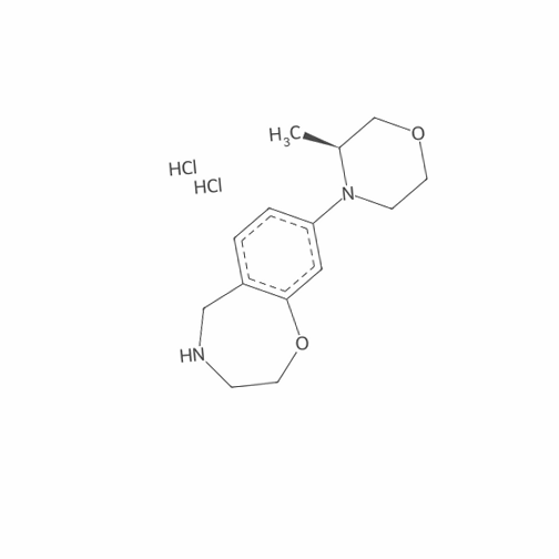 C[C@H]1COCCN1c1ccc2c(c1)OCCNC2.Cl.Cl